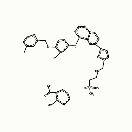 CS(=O)(=O)CCNCc1ccc(-c2ccc3ncnc(Nc4ccc(OCc5cccc(F)c5)c(Cl)c4)c3c2)o1.O=C(O)c1ccccc1O